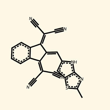 Cc1nc2[nH]c(C=C3C(=C(C#N)C#N)c4ccccc4C3=C(C#N)C#N)cc2s1